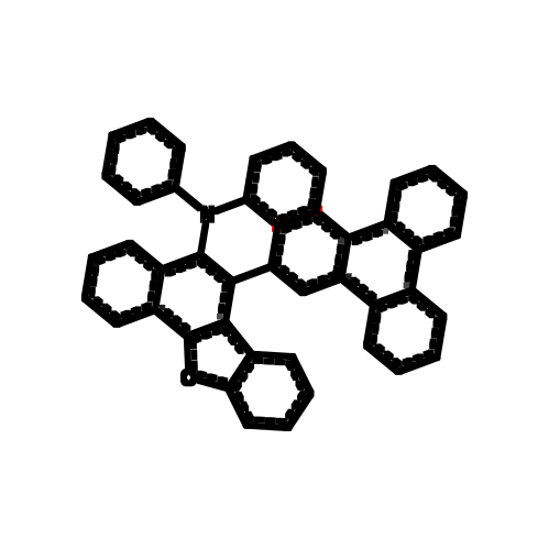 c1ccc(N(c2ccccc2)c2c(-c3ccc4c5ccccc5c5ccccc5c4c3)c3c4ccccc4oc3c3ccccc23)cc1